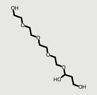 OCCOCCOCCOCCOC(O)CCO